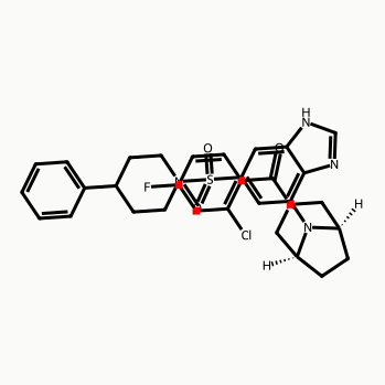 O=C(c1ccc(F)cc1Cl)N1C[C@H]2CC[C@@H](C1)N2c1cc(S(=O)(=O)N2CCC(c3ccccc3)CC2)cc2[nH]cnc12